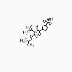 CC(C)COC(=O)[C@@H](NC(=O)C1CCC(S(=O)(=O)O)C1)C(C)C